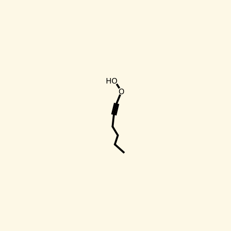 CCCCC#COO